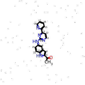 CC(=O)c1cc2cc(Nc3nccc(-c4ccccn4)n3)ccc2[nH]1